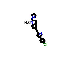 CN1c2ccc(C#Cc3ccc(-c4ccc(Cl)cc4)cn3)cc2CCC1CN1CCCC1